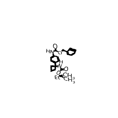 CCC(C)(C)OC(=O)NC1(c2ccc(NC(=O)OCc3ccccc3)cc2)CCC1